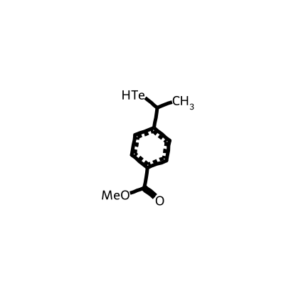 COC(=O)c1ccc(C(C)[TeH])cc1